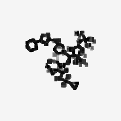 CC(C)(C)OC(=O)N[C@H](C(=O)N1C[C@H](Nc2nc(-c3ccccc3)cs2)C[C@H]1C(=O)N[C@]1(C(=O)NS(=O)(=O)C2CC2)C[C@H]1I)C(C)(C)C